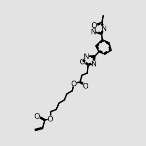 C=CC(=O)OCCCCCCOC(=O)CCc1nc(-c2cccc(-c3noc(C)n3)c2)no1